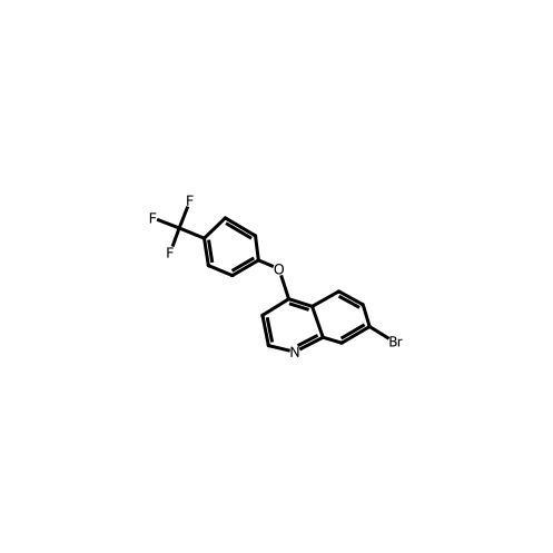 FC(F)(F)c1ccc(Oc2ccnc3cc(Br)ccc23)cc1